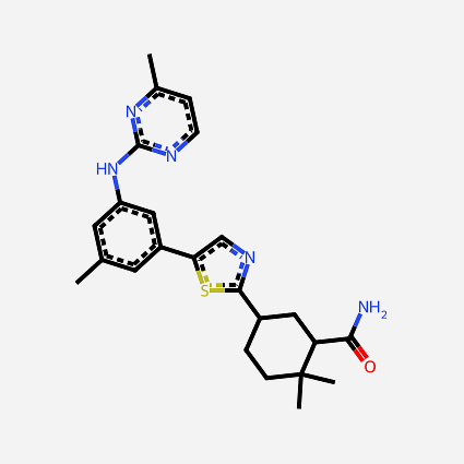 Cc1cc(Nc2nccc(C)n2)cc(-c2cnc(C3CCC(C)(C)C(C(N)=O)C3)s2)c1